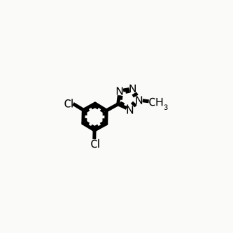 Cn1nnc(-c2cc(Cl)cc(Cl)c2)n1